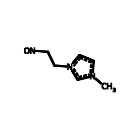 Cn1cc[n+](CCN=O)c1